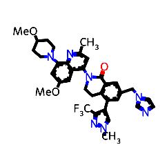 COc1cc(N2CCC(OC)CC2)c2nc(C)cc(N3CCc4c(cc(Cn5ccnc5)cc4-c4cn(C)nc4C(F)(F)F)C3=O)c2c1